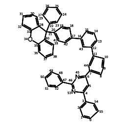 c1ccc(-c2cc(-c3cccc(-c4cccc(-c5ccc(C6(c7ccccc7)c7ccccc7Oc7ccccc76)cc5)c4)c3)nc(-c3ccccc3)n2)cc1